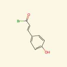 O=C(Br)C=Cc1ccc(O)cc1